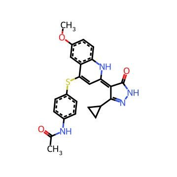 COc1ccc2c(c1)C(Sc1ccc(NC(C)=O)cc1)=CC(=C1C(=O)NN=C1C1CC1)N2